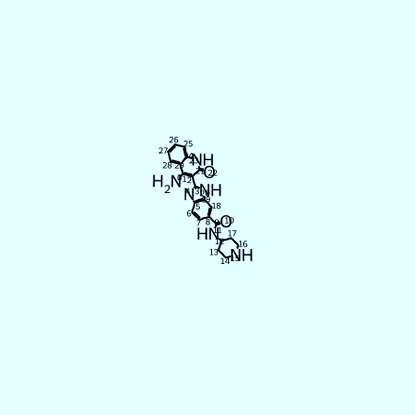 Nc1c(-c2nc3ccc(C(=O)NC4CCNCC4)cc3[nH]2)c(=O)[nH]c2ccccc12